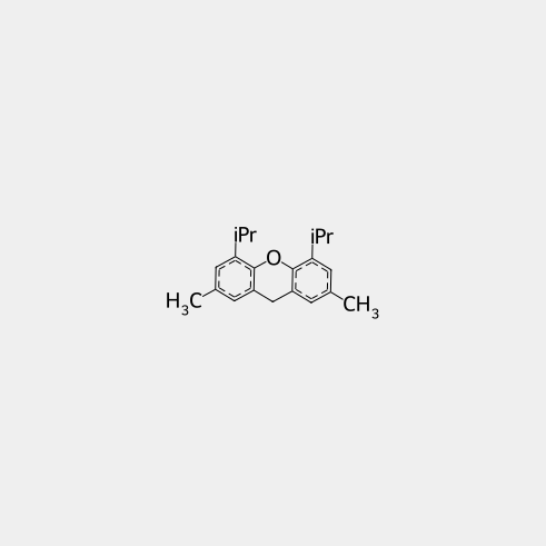 Cc1cc2c(c(C(C)C)c1)Oc1c(cc(C)cc1C(C)C)C2